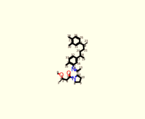 CO[C@H](C)CC(=O)N1CCC[C@H]1/C(C)=N/c1cc(C(C)CC[C@H](C)c2ccc(C)c(C)c2)ccc1C